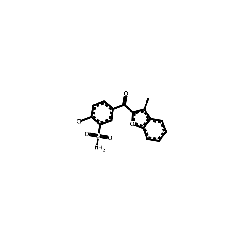 Cc1c(C(=O)c2ccc(Cl)c(S(N)(=O)=O)c2)oc2ccccc12